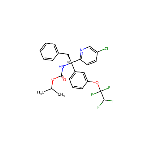 CC(C)OC(=O)N[C@@](Cc1ccccc1)(c1cccc(OC(F)(F)C(F)F)c1)c1ccc(Cl)cn1